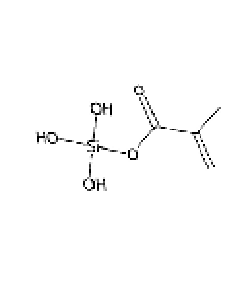 C=C(C)C(=O)O[Si](O)(O)O